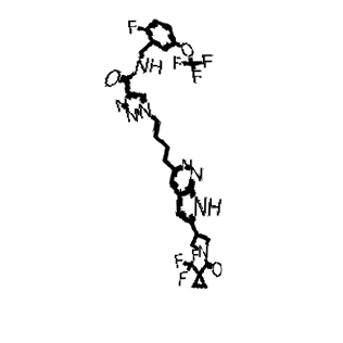 O=C(NCc1cc(OC(F)(F)F)ccc1F)c1cn(CCCCc2cc3cc(C4CN(C(=O)C5(C(F)(F)F)CC5)C4)[nH]c3nn2)nn1